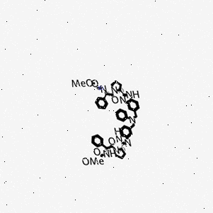 COO/C=N/[C@@H](C(=O)N1CCC[C@H]1c1nc2cc(CN(Cc3ccc4[nH]c([C@@H]5CCCN5C(=O)[C@H](NC(=O)OC)c5ccccc5)nc4c3)c3ccccc3)ccc2[nH]1)c1ccccc1